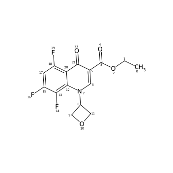 CCOC(=O)c1cn(C2COC2)c2c(F)c(F)cc(F)c2c1=O